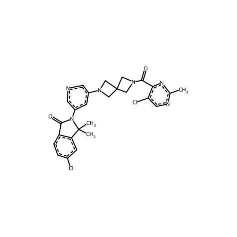 Cc1ncc(Cl)c(C(=O)N2CC3(C2)CN(c2cncc(N4C(=O)c5ccc(Cl)cc5C4(C)C)c2)C3)n1